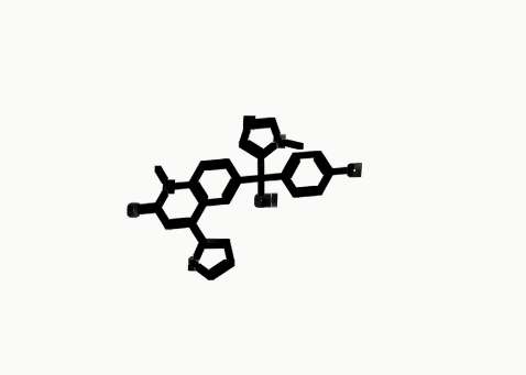 Cn1cncc1C(O)(c1ccc(Cl)cc1)c1ccc2c(c1)c(-c1cccs1)cc(=O)n2C